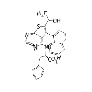 CC(O)c1sc2ncnc(N[C@H](Cc3ccccc3)C(=O)O)c2c1-c1cccc2ccccc12